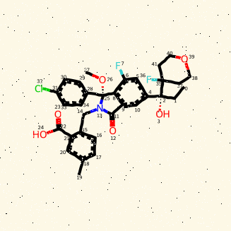 CC[C@@](O)(c1cc(F)c2c(c1)C(=O)N(Cc1ccc(C)cc1C(=O)O)[C@@]2(OC)c1ccc(Cl)cc1)C1(F)CCOCC1